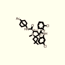 CC(=O)C12CCC(NC(=O)[C@H]3[C@H](c4cccc(Cl)c4F)[C@]4(C(=O)Nc5cc(Cl)ccc54)C4(CC(C)(C)C4)N3C)(CC1)CC2